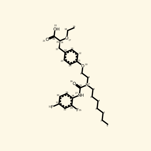 CCCCCCCN(CCOc1ccc(C[C@H](OCC)C(=O)O)cc1)C(=O)Nc1ccc(F)cc1F